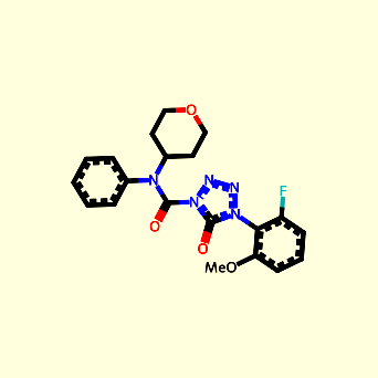 COc1cccc(F)c1-n1nnn(C(=O)N(c2ccccc2)C2CCOCC2)c1=O